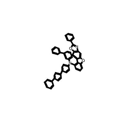 c1ccc(-c2ccc(-c3ccc(N(c4cccc(-c5ccccc5)c4)c4cccc5oc6cc7nc(-c8ccccc8)oc7cc6c45)cc3)cc2)cc1